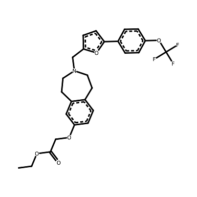 CCOC(=O)COc1ccc2c(c1)CCN(Cc1ccc(-c3ccc(OC(F)(F)F)cc3)o1)CC2